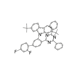 CC(C)(C)c1ccc2c3ccc(C(C)(C)C)cc3n(-c3cc(-c4ccc(F)cc4F)ccc3-c3nc(-c4ccccc4)nc(-c4ccccc4)n3)c2c1